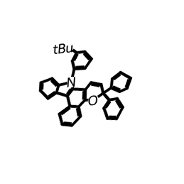 CC(C)(C)c1cccc(-n2c3ccccc3c3c4ccccc4c4c(c32)C=CC(c2ccccc2)(c2ccccc2)O4)c1